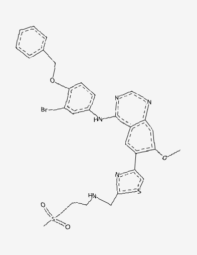 COc1cc2ncnc(Nc3ccc(OCc4ccccc4)c(Br)c3)c2cc1-c1csc(CNCCS(C)(=O)=O)n1